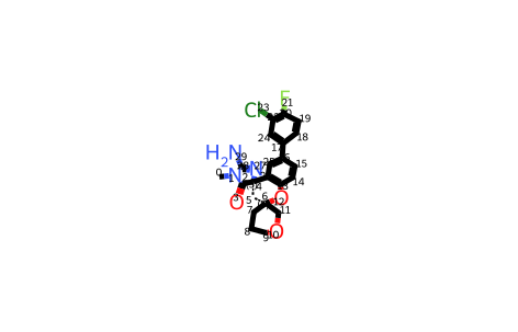 CN1C(=O)[C@@]2(C[C@]3(CCCOC3)Oc3ccc(-c4ccc(F)c(Cl)c4)cc32)N=C1N